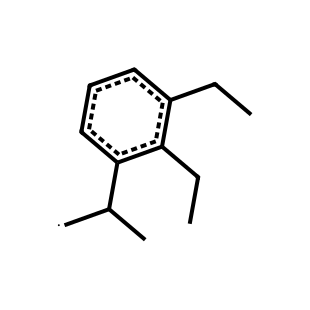 [CH2]C(C)c1cccc(CC)c1CC